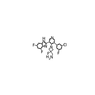 NCC1(F)CN(c2c(-c3cc(F)cc(Cl)c3)cncc2-c2nc3c(F)cc(F)cc3[nH]2)C1